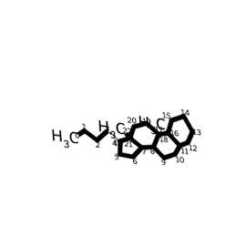 CCCC[C@H]1CCC2C3CCC4CCCCC4(C)C3CCC21C